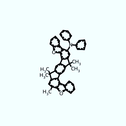 Cc1cc2c(c3c1oc1ccccc13)-c1cc3c(cc1C2(C)C)-c1c(cc(N(c2ccccc2)c2ccccc2)c2c1oc1ccccc12)C3(C)C